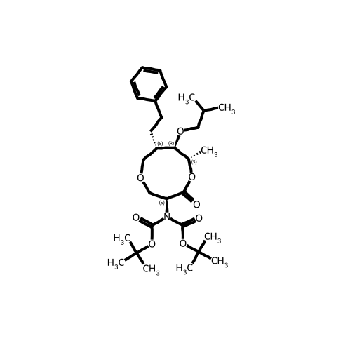 CC(C)CO[C@@H]1[C@@H](CCc2ccccc2)COC[C@H](N(C(=O)OC(C)(C)C)C(=O)OC(C)(C)C)C(=O)O[C@H]1C